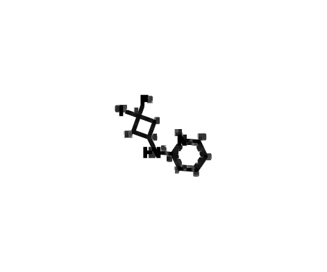 FC1(F)CC(Nc2ccccn2)C1